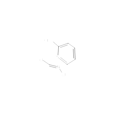 O=Cc1ccccn1.ON=CCl